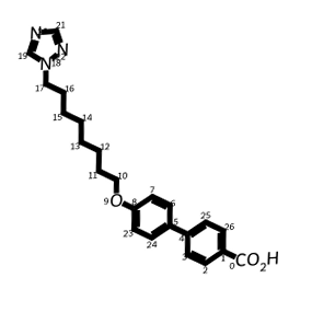 O=C(O)c1ccc(-c2ccc(OCCCCCCCCn3cncn3)cc2)cc1